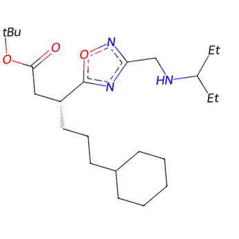 CCC(CC)NCc1noc([C@H](CCCC2CCCCC2)CC(=O)OC(C)(C)C)n1